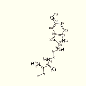 CCC(N)C(=O)NCCNc1nc2ccc(OC)cc2s1